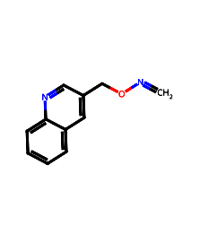 C=NOCc1cnc2ccccc2c1